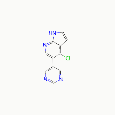 Clc1c(-c2cncnc2)cnc2[nH]ccc12